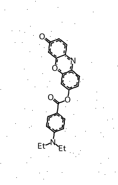 CCN(CC)c1ccc(C(=O)Oc2ccc3nc4ccc(=O)cc-4oc3c2)cc1